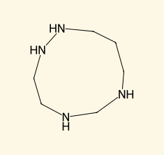 C1CNCNCCNNC1